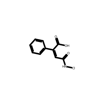 O=C(C=C(C(=O)O)c1ccccc1)NCl